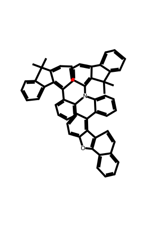 CC1(C)c2ccccc2-c2c(-c3ccccc3N(c3ccccc3-c3cccc4oc5c6ccccc6ccc5c34)c3cccc4c3C(C)(C)c3ccccc3-4)cccc21